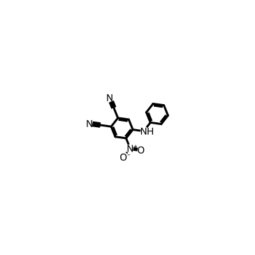 N#Cc1cc(Nc2ccccc2)c([N+](=O)[O-])cc1C#N